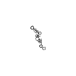 Cc1c(C(=O)N2CCN(c3ccccc3)CC2)oc2c1-c1nn(Cc3cccc(Cl)c3)cc1CC2